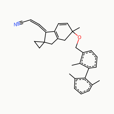 Cc1cccc(C)c1-c1cccc(COC2(C)C=CC3=C(C2)CC2(CC2)C3=C=CC#N)c1C